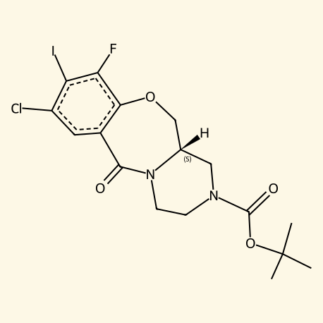 CC(C)(C)OC(=O)N1CCN2C(=O)c3cc(Cl)c(I)c(F)c3OC[C@@H]2C1